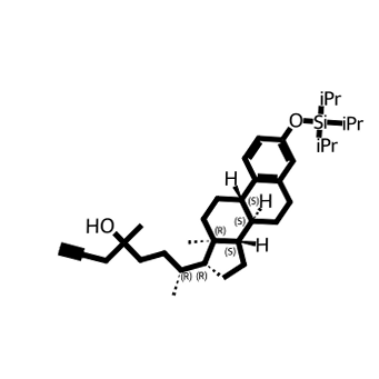 C#CCC(C)(O)CC[C@@H](C)[C@H]1CC[C@H]2[C@@H]3CCc4cc(O[Si](C(C)C)(C(C)C)C(C)C)ccc4[C@H]3CC[C@]12C